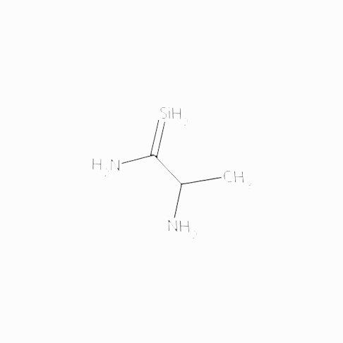 CC(N)C(N)=[SiH2]